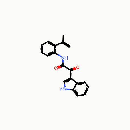 C=C(C)c1ccccc1NC(=O)C(=O)c1c[nH]c2ccccc12